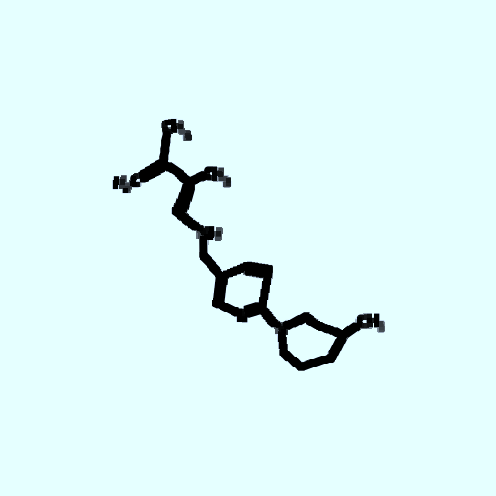 C=C(C)/C(C)=C/NCc1ccc(N2CCCC(C)C2)nc1